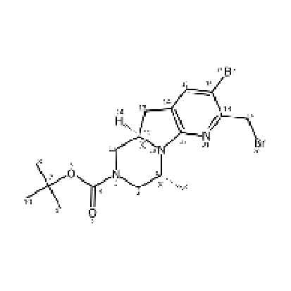 C[C@@H]1CN(C(=O)OC(C)(C)C)C[C@H]2Cc3cc(Br)c(CBr)nc3N21